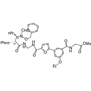 CCCCC[C@@H](C(=O)NCNC(=O)c1ccc(-c2cc(OCC)cc(C(=O)NCC(=O)OC)c2)o1)[C@@H](CCC)N(C=O)OCc1ccccc1